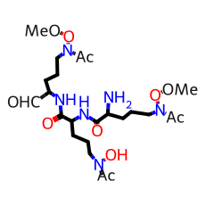 COON(CCCC(C=O)NC(=O)C(CCCN(O)C(C)=O)NC(=O)C(N)CCCN(OOC)C(C)=O)C(C)=O